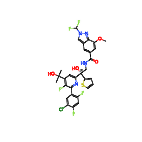 COc1cc(C(=O)NC[C@](O)(c2cc(C(C)(C)O)c(F)c(-c3cc(Cl)c(F)cc3F)n2)c2cccs2)cc2cn(C(F)F)nc12